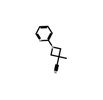 CC1(C#N)CN(c2ccccn2)C1